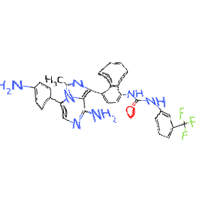 Cc1nc(-c2ccc(NC(=O)Nc3cccc(C(F)(F)F)c3)c3ccccc23)c2c(N)ncc(-c3ccc(N)cc3)n12